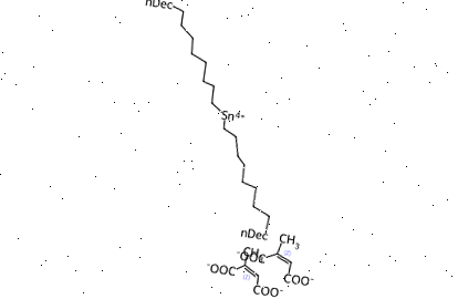 C/C(=C/C(=O)[O-])C(=O)[O-].C/C(=C/C(=O)[O-])C(=O)[O-].CCCCCCCCCCCCCCCCC[CH2][Sn+4][CH2]CCCCCCCCCCCCCCCCC